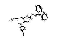 Cc1ccc(NC(=O)C(CCCN)NC(=O)OCC2c3ccccc3-c3ccccc32)cc1